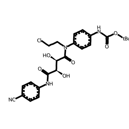 CC(C)(C)OC(=O)Nc1ccc(N(CCCl)C(=O)[C@H](O)[C@@H](O)C(=O)Nc2ccc(C#N)cc2)cc1